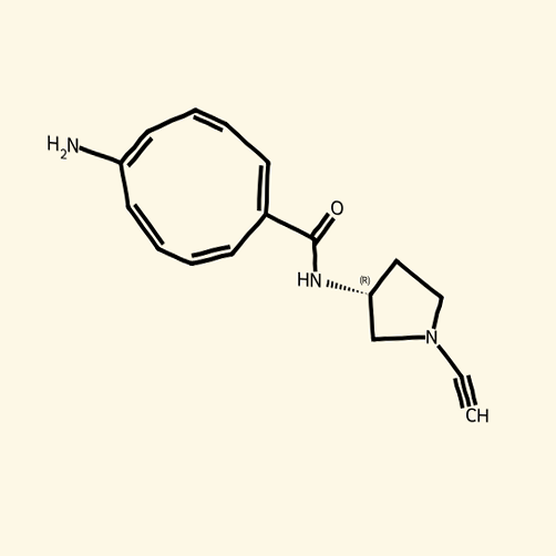 C#CN1CC[C@@H](NC(=O)c2ccccc(N)cccc2)C1